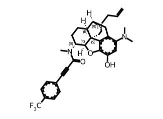 C=CCN1CC[C@]23c4c5c(N(C)C)cc(O)c4O[C@H]2[C@H](N(C)C(=O)C#Cc2ccc(C(F)(F)F)cc2)CC[C@H]3[C@H]1C5